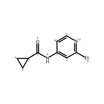 CCc1cc(NC(=O)C2CC2)ccn1